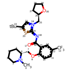 CN1CCCC[C@@H]1COc1ccc(C(F)(F)F)cc1C(=O)N=c1sc(C(C)(C)C)cn1C[C@H]1CCCO1